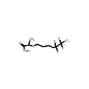 COC(=O)C(C)SCCCCC(F)(F)C(F)(F)C(F)(F)F